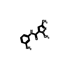 Cc1cc(C(=O)Nc2cccc(N)c2)n(C)n1